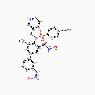 COc1ccc(S(=O)(=O)N(Cc2cccnc2)c2c(C)cc(-c3cccc(/C=N\O)c3)cc2C(=O)NO)cc1